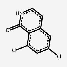 O=c1[nH]ccc2cc(Cl)cc(Cl)c12